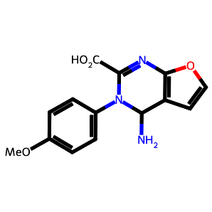 COc1ccc(N2C(C(=O)O)=Nc3occc3C2N)cc1